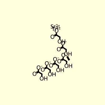 C=C.O=C([O-])CO.O=C([O-])CO.O=C([O-])CO.O=C([O-])CO.O=C([O-])CO.O=C([O-])CO.[Sr+2].[Ti+4]